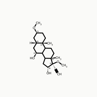 C#C[C@]1(OC)[C@H](O)CC2C3C(CC[C@@]21C)[C@@]1(C)CC[C@H](OC)C[C@H]1C[C@@H]3O